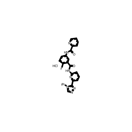 CC(C)n1cnnc1-c1cccc(NC(=O)c2cc(NC(=O)c3ccccn3)ccc2F)n1.Cl